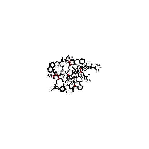 CC(=O)N[C@@H](CCCNC(N)=O)C(=O)N[C@@H](CCCNC(=N)N)C(=O)N[C@@H](Cc1ccc2ccccc2c1)C(=O)N[C@@H](CS)C(=O)N[C@@H](Cc1ccc(O)cc1)C(=O)N[C@@H](CCCNC(N)=O)C(=O)N[C@@H](CCCCN)C(=O)N[C@H](CCCCN)C(=O)N1CCC[C@H]1C(=O)N[C@@H](Cc1ccc(O)cc1)C(=O)N[C@@H](CCCNC(=N)N)C(=O)N[C@@H](CCCNC(N)=O)C(=O)N[C@@H](CS)C(=O)N[C@@H](CCCNC(=N)N)C(N)=O